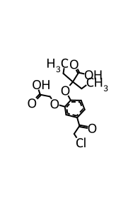 CCC(CC)(Oc1ccc(C(=O)CCl)cc1OCC(=O)O)C(=O)O